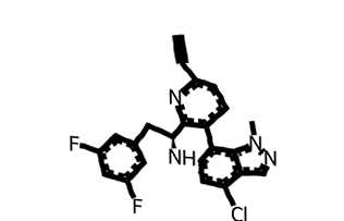 C#Cc1ccc(-c2ccc(Cl)c3cnn(C)c23)c([C@@H](N)Cc2cc(F)cc(F)c2)n1